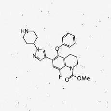 COC(=O)N1c2c(F)cc(-c3cnn(C4CCNCC4)c3)c(Oc3ccccc3)c2CC[C@@H]1C